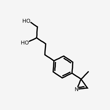 CC1(c2ccc(CCC(O)CO)cc2)C=N1